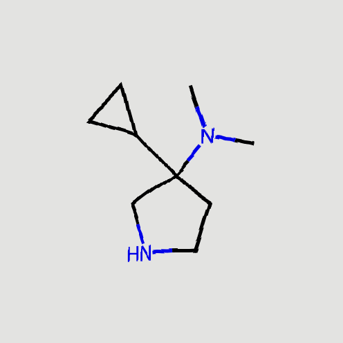 CN(C)C1(C2CC2)CCNC1